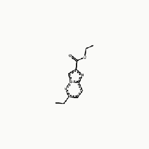 CCOC(=O)c1cn2nc(CC)ccc2n1